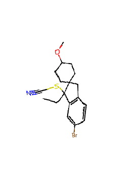 CCC1(SC#N)c2cc(Br)ccc2CC12CCC(OC)CC2